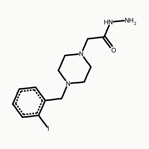 NNC(=O)CN1CCN(Cc2ccccc2I)CC1